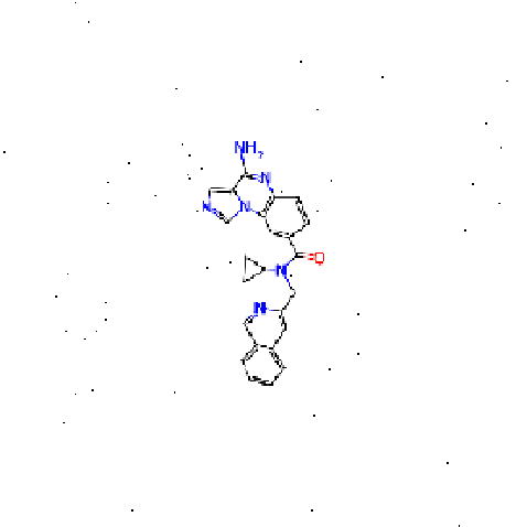 Nc1nc2ccc(C(=O)N(Cc3cc4ccccc4cn3)C3CC3)cc2n2cncc12